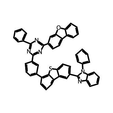 c1ccc(-c2nc(-c3cccc(-c4cccc5c4sc4ccc(-c6nc7ccccc7n6-c6ccccc6)cc45)c3)nc(-c3ccc4c(c3)oc3ccccc34)n2)cc1